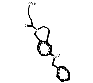 COCCC(=O)N1CCc2cc(NCc3ccccc3)ccc2C1